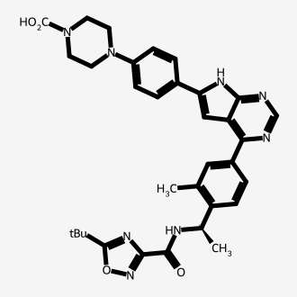 Cc1cc(-c2ncnc3[nH]c(-c4ccc(N5CCN(C(=O)O)CC5)cc4)cc23)ccc1[C@@H](C)NC(=O)c1noc(C(C)(C)C)n1